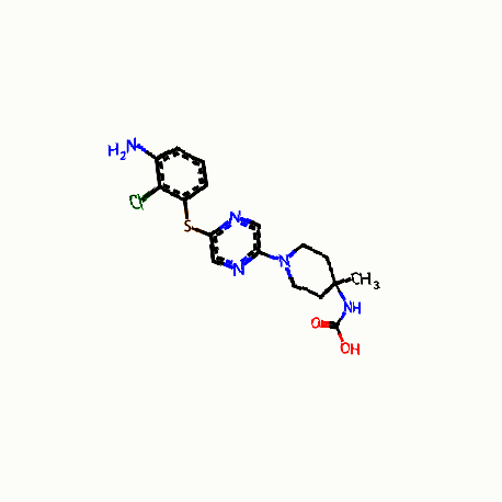 CC1(NC(=O)O)CCN(c2cnc(Sc3cccc(N)c3Cl)cn2)CC1